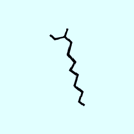 CCCCCCCCCC(C)CC